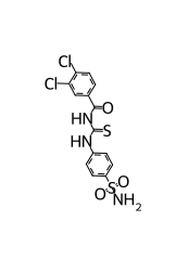 NS(=O)(=O)c1ccc(NC(=S)NC(=O)c2ccc(Cl)c(Cl)c2)cc1